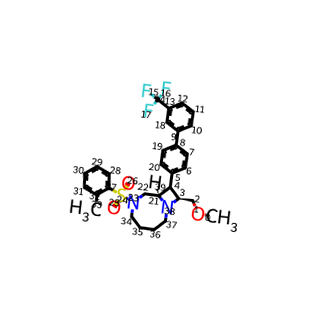 COC[C@@H]1C(c2ccc(-c3cccc(C(F)(F)F)c3)cc2)[C@@H]2CN(S(=O)(=O)c3ccccc3C)CCCCN12